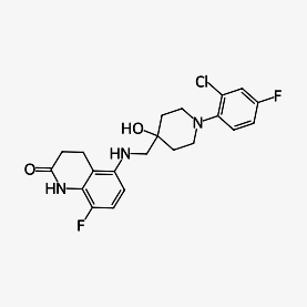 O=C1CCc2c(NCC3(O)CCN(c4ccc(F)cc4Cl)CC3)ccc(F)c2N1